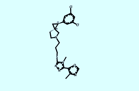 Cc1ncoc1-c1nnc(SCCCN2CC[C@@]3(C[C@H]3c3cc(Cl)cc(Cl)c3)C2)n1C